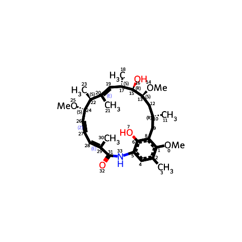 COc1c(C)cc2c(O)c1C[C@@H](C)C[C@H](OC)[C@H](O)[C@@H](C)/C=C(\C)[C@H](C)[C@@H](OC)/C=C\C=C(/C)C(=O)N2